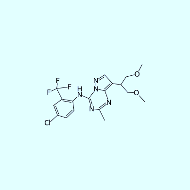 COCC(COC)c1cnn2c(Nc3ccc(Cl)cc3C(F)(F)F)nc(C)nc12